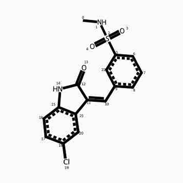 CNS(=O)(=O)c1cccc(C=C2C(=O)Nc3ccc(Cl)cc32)c1